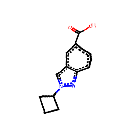 O=C(O)c1ccc2nn(C3CCC3)cc2c1